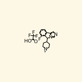 CN1CCC(C2c3c(F)cccc3-c3cncn32)CC1.O=C(O)C(F)(F)F